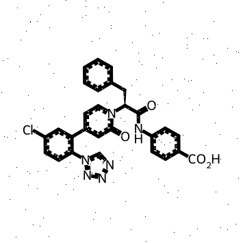 O=C(O)c1ccc(NC(=O)[C@H](Cc2ccccc2)n2ccc(-c3cc(Cl)ccc3-n3cnnn3)cc2=O)cc1